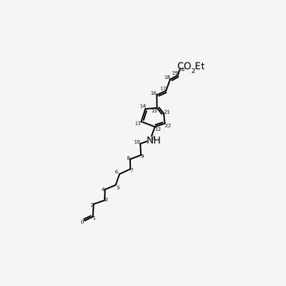 C=CCCCCCCCCCNc1ccc(C=CC=CC(=O)OCC)cc1